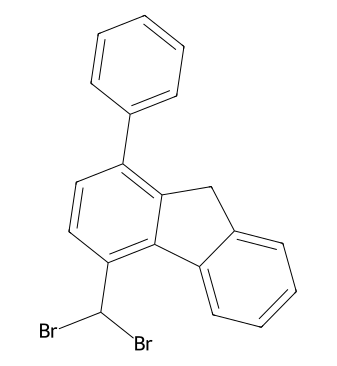 BrC(Br)c1ccc(-c2ccccc2)c2c1-c1ccccc1C2